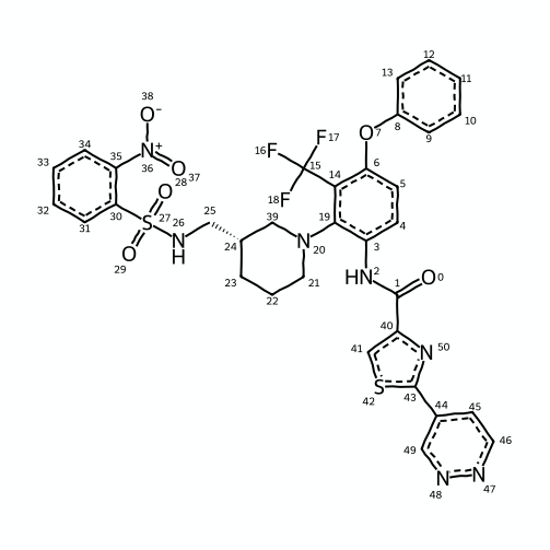 O=C(Nc1ccc(Oc2ccccc2)c(C(F)(F)F)c1N1CCC[C@H](CNS(=O)(=O)c2ccccc2[N+](=O)[O-])C1)c1csc(-c2ccnnc2)n1